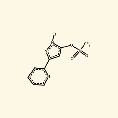 CCn1nc(-c2ccccn2)cc1OS(=O)(=O)C(F)(F)F